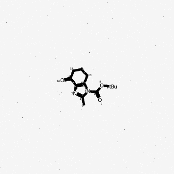 Cc1nc2c(n1C(=O)OC(C)(C)C)CCCC2=O